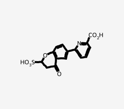 O=C(O)c1cccc(-c2ccc3c(c2)C(=O)CC(S(=O)(=O)O)O3)n1